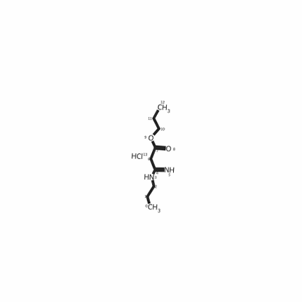 CCCNC(=N)CC(=O)OCCC.Cl